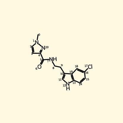 Cn1ccc(C(=O)NCCc2c[nH]c3ccc(Cl)cc23)n1